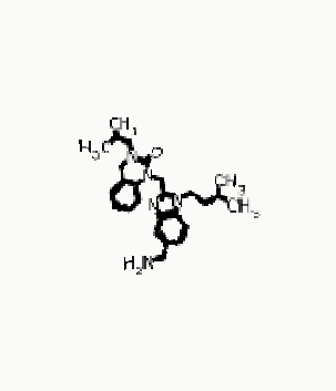 CC(C)CCn1c(CN2C(=O)N(CC(C)C)Cc3ccccc32)nc2cc(CN)ccc21